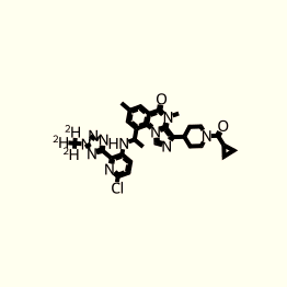 [2H]C([2H])([2H])n1nnc(-c2nc(Cl)ccc2NC(C)c2cc(C)cc3c(=O)n(C)c4c(C5CCN(C(=O)C6CC6)CC5)ncn4c23)n1